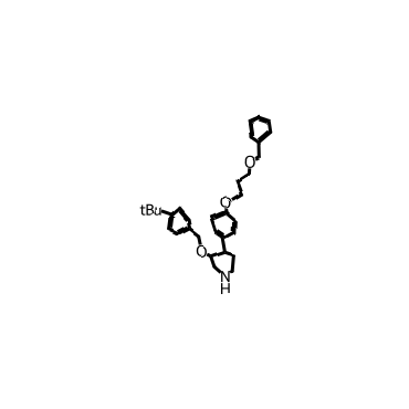 CC(C)(C)c1ccc(COC2CNCCC2c2ccc(OCCCOCc3ccccc3)cc2)cc1